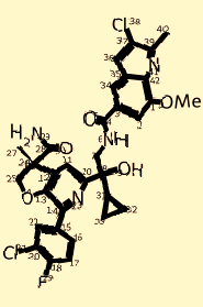 COc1cc(C(=O)NCC(O)(c2cc3c(c(-c4ccc(F)c(Cl)c4)n2)OC[C@]3(C)C(N)=O)C2CC2)cc2cc(Cl)c(C)nc12